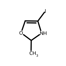 CC1NC(I)=CO1